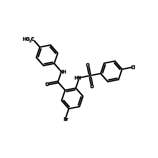 O=C(O)c1ccc(NC(=O)c2cc(Br)ccc2NS(=O)(=O)c2ccc(Cl)cc2)cc1